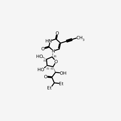 CC#Cc1cn([C@@H]2O[C@H](C(O)C(=O)C(CC)CC)[C@@H](O)[C@@H]2O)c(=O)[nH]c1=O